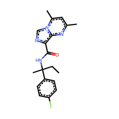 CCC(C)(NC(=O)c1ncn2c(C)cc(C)nc12)c1ccc(F)cc1